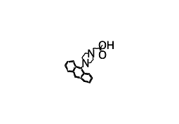 O=C(O)CN1CCN(c2c3ccccc3cc3ccccc23)CC1